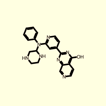 Oc1nc(-c2ccnc(N(c3ccccc3)C3CNCCN3)c2)nc2cnccc12